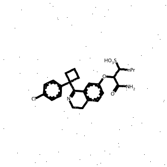 CCCC(C(Oc1ccc2c(c1)C(C1(c3ccc(Cl)cc3)CCC1)=NCC2)C(N)=O)S(=O)(=O)O